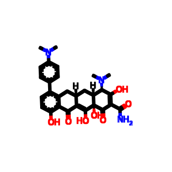 CN(C)c1ccc(-c2ccc(O)c3c2C[C@@H]2C[C@@H]4[C@@H](N(C)C)C(O)=C(C(N)=O)C(=O)[C@]4(O)C(O)=C2C3=O)cc1